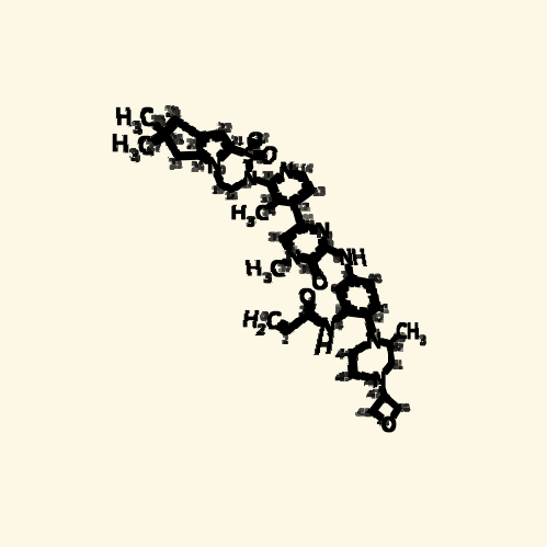 C=CC(=O)Nc1cc(Nc2nc(-c3ccnc(N4CCn5c(cc6c5CC(C)(C)C6)S4(=O)=O)c3C)cn(C)c2=O)ccc1N1CCN(C2COC2)C[C@@H]1C